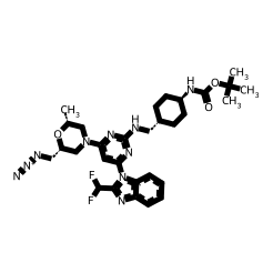 C[C@@H]1CN(c2cc(-n3c(C(F)F)nc4ccccc43)nc(NC[C@H]3CC[C@H](NC(=O)OC(C)(C)C)CC3)n2)C[C@H](CN=[N+]=[N-])O1